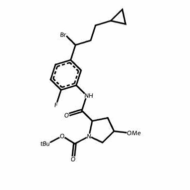 COC1CC(C(=O)Nc2cc(C(Br)CCC3CC3)ccc2F)N(C(=O)OC(C)(C)C)C1